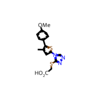 COc1ccc(-c2sc(-n3cnnc3SCC(=O)O)cc2C)cc1